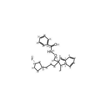 CC1N2C=CC=CC2=NC1(CCCN1CC[C@H](F)C1)CONC(=O)c1ccccc1